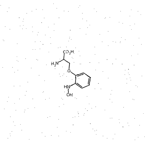 NC(COc1ccccc1NO)C(=O)O